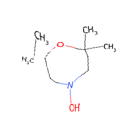 CC.CC1(C)CN(O)CCO1